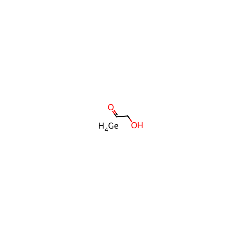 O=CCO.[GeH4]